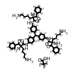 NCCCC[C@@](N)(C(=O)Nc1ccc(C(c2ccc(NC(=O)[C@](N)(CCCCN)C(=O)c3ccccc3)cc2)c2ccc(NC(=O)[C@](N)(CCCCN)C(=O)c3ccccc3)cc2)cc1)C(=O)c1ccccc1.O=C(O)C(F)(F)F